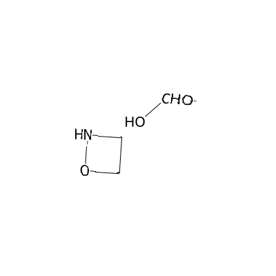 C1CON1.O=[C]O